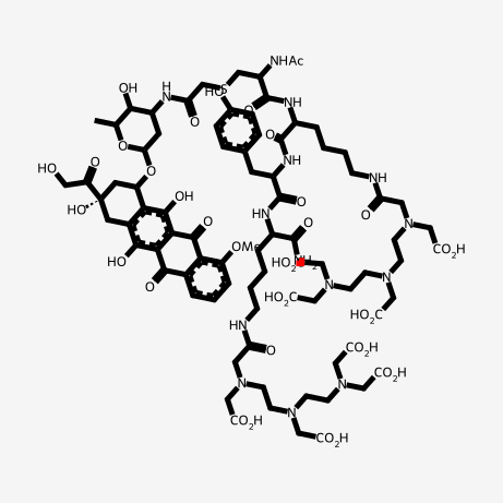 COc1cccc2c1C(=O)c1c(O)c3c(c(O)c1C2=O)C[C@@](O)(C(=O)CO)CC3OC1CC(NC(=O)CSCC(NC(C)=O)C(=O)NC(CCCCNC(=O)CN(CCN(CCN(CC(=O)O)CC(=O)O)CC(=O)O)CC(=O)O)C(=O)NC(Cc2ccc(O)cc2)C(=O)NC(CCCCNC(=O)CN(CCN(CCN(CC(=O)O)CC(=O)O)CC(=O)O)CC(=O)O)C(N)=O)C(O)C(C)O1